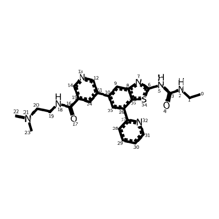 CCNC(=O)Nc1nc2cc(-c3cncc(C(=O)NCCN(C)C)c3)cc(-c3ccccn3)c2s1